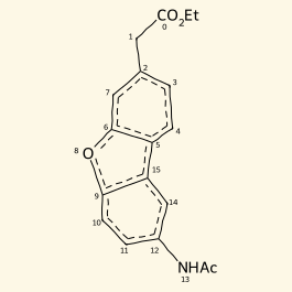 CCOC(=O)Cc1ccc2c(c1)oc1ccc(NC(C)=O)cc12